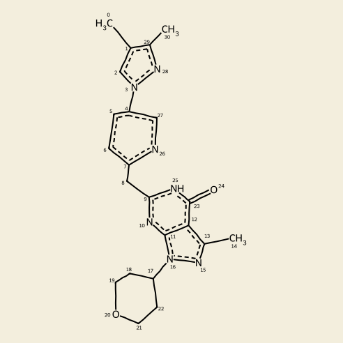 Cc1cn(-c2ccc(Cc3nc4c(c(C)nn4C4CCOCC4)c(=O)[nH]3)nc2)nc1C